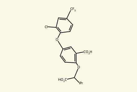 CC(C)C(Oc1ccc(Oc2ccc(C(F)(F)F)cc2Cl)cc1C(=O)O)C(=O)O